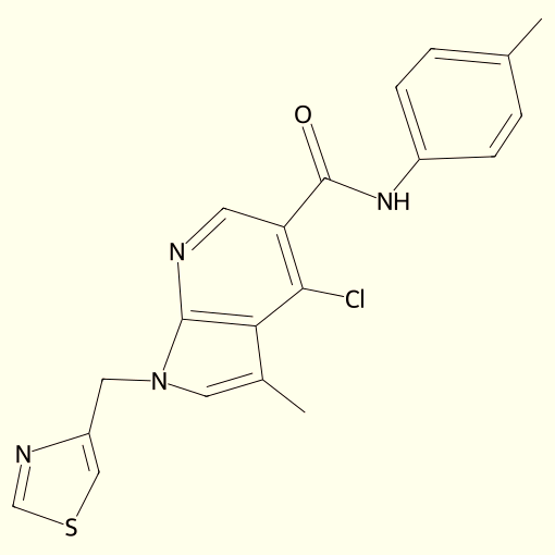 Cc1ccc(NC(=O)c2cnc3c(c(C)cn3Cc3cscn3)c2Cl)cc1